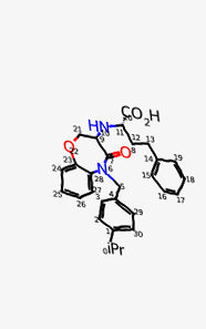 CC(C)c1ccc(CN2C(=O)[C@H](N[C@@H](CCc3ccccc3)C(=O)O)COc3ccccc32)cc1